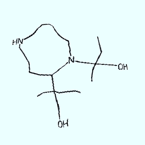 CC(C)(O)C1CNCCN1C(C)(C)O